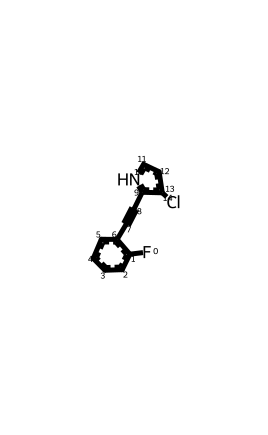 Fc1ccccc1C#Cc1[nH]ccc1Cl